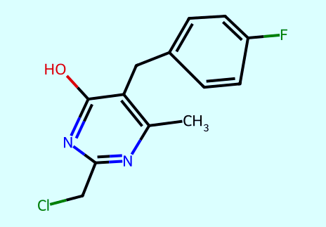 Cc1nc(CCl)nc(O)c1Cc1ccc(F)cc1